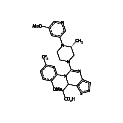 COc1cncc(N2CCN(C3=Nc4ccsc4C(CC(=O)O)N3c3cc(C(F)(F)F)ccc3OC)C[C@H]2C)c1